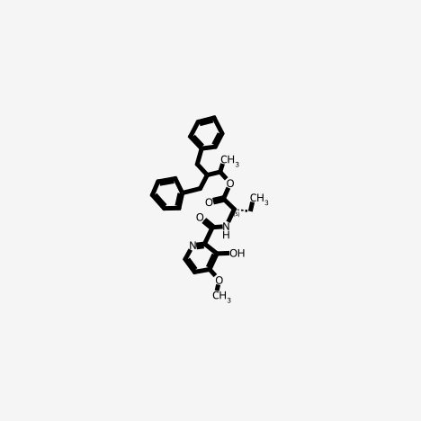 CC[C@H](NC(=O)c1nccc(OC)c1O)C(=O)OC(C)C(Cc1ccccc1)Cc1ccccc1